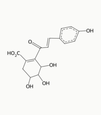 O=C(O)C1=C(C(=O)C=Cc2ccc(O)cc2)C(O)C(O)C(O)C1